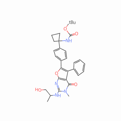 CC(CO)Nc1nc2oc(-c3ccc(C4(NC(=O)OC(C)(C)C)CCC4)cc3)c(-c3ccccc3)c2c(=O)n1C